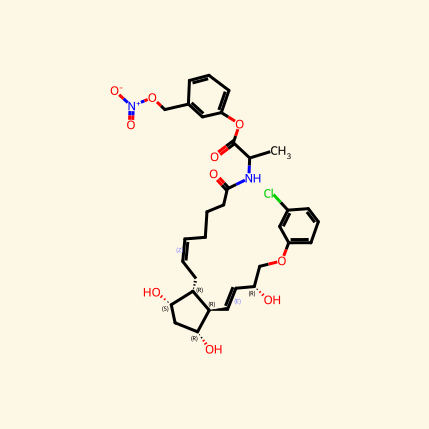 CC(NC(=O)CCC/C=C\C[C@@H]1[C@@H](/C=C/[C@@H](O)COc2cccc(Cl)c2)[C@H](O)C[C@@H]1O)C(=O)Oc1cccc(CO[N+](=O)[O-])c1